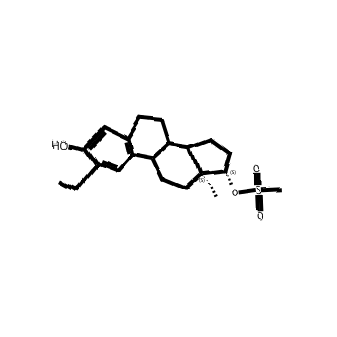 CCc1cc2c(cc1O)CCC1C2CC[C@@]2(C)C1CC[C@@H]2OS(C)(=O)=O